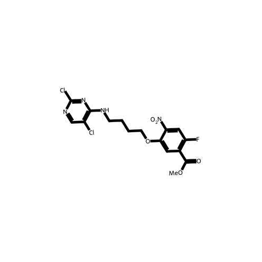 COC(=O)c1cc(OCCCCNc2nc(Cl)ncc2Cl)c([N+](=O)[O-])cc1F